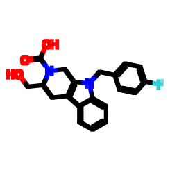 O=C(O)N1Cc2c(c3ccccc3n2Cc2ccc(F)cc2)CC1CO